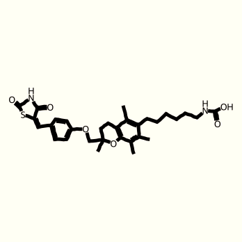 Cc1c(C)c2c(c(C)c1CCCCCCNC(=O)O)CCC(C)(COc1ccc(C=C3SC(=O)NC3=O)cc1)O2